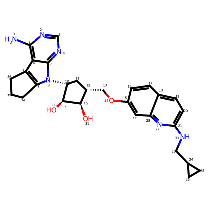 Nc1ncnc2c1c1c(n2[C@@H]2C[C@H](COc3ccc4ccc(NCC5CC5)nc4c3)[C@@H](O)[C@H]2O)CCC1